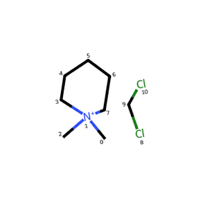 C[N+]1(C)CCCCC1.ClCCl